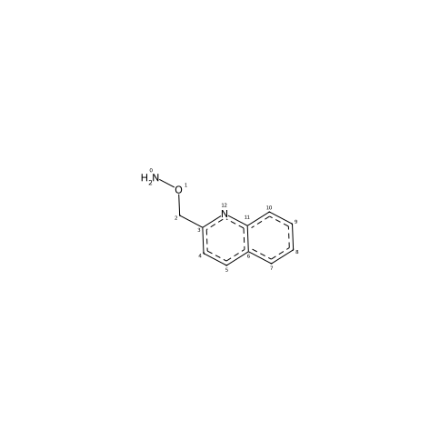 NOCc1ccc2ccccc2n1